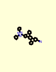 N#Cc1ccc(-c2cc(-c3ccccc3)c(-c3ccc(-c4nc(-c5ccccc5)nc(-c5ccccc5)n4)cc3)cc2-c2ccccc2)cc1